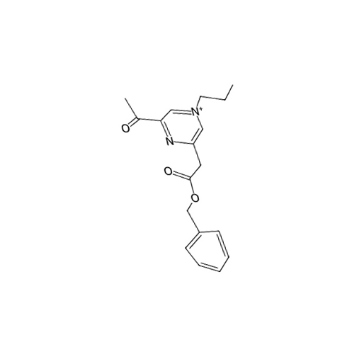 CCC[n+]1cc(CC(=O)OCc2ccccc2)nc(C(C)=O)c1